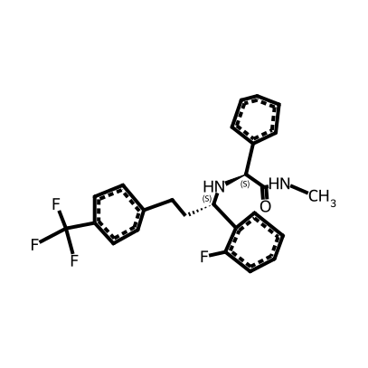 CNC(=O)[C@@H](N[C@@H](CCc1ccc(C(F)(F)F)cc1)c1ccccc1F)c1ccccc1